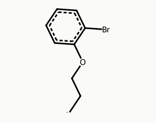 [CH2]CCOc1ccccc1Br